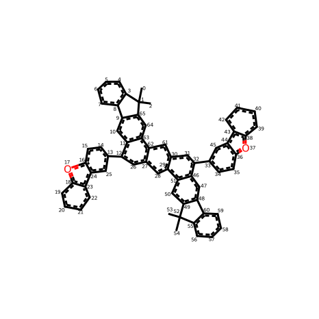 CC1(C)c2ccccc2-c2cc3c(-c4ccc5oc6ccccc6c5c4)cc4cc5c(cc(-c6ccc7oc8ccccc8c7c6)c6cc7c(cc65)C(C)(C)c5ccccc5-7)cc4c3cc21